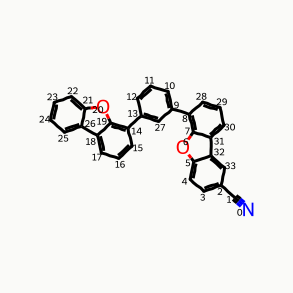 N#Cc1ccc2oc3c(-c4cccc(-c5cccc6c5oc5ccccc56)c4)cccc3c2c1